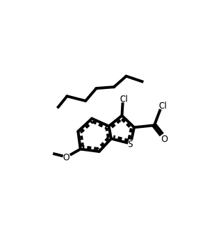 CCCCCCC.COc1ccc2c(Cl)c(C(=O)Cl)sc2c1